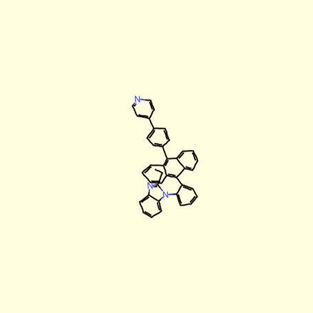 CCc1nc2ccccc2n1-c1ccccc1-c1c2ccccc2c(-c2ccc(-c3ccncc3)cc2)c2ccccc12